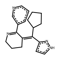 c1cncc(C2=NCCCC2=C(c2cc[nH]n2)C2CCCC2)c1